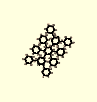 c1ccc(-c2cc(-c3c(-c4ccccc4)c(-c4ccccc4)c(-c4cc(-c5ccccc5)nc(-c5ccccc5)c4)c(-c4ccccc4)c3-c3ccccc3)cc(-c3ccccc3)n2)cc1